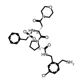 NCc1ccc(Cl)cc1CNC(=O)[C@@H]1CCCN1C(=O)[C@@H](CC(=O)N1CCOCC1)NS(=O)(=O)Cc1ccccc1